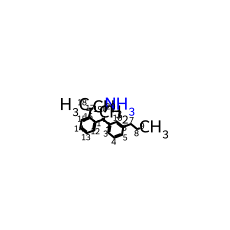 C=C(c1cccc(CCC)c1)c1ccccc1C(C)C.N